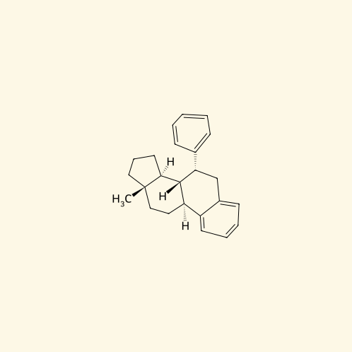 C[C@@]12CCC[C@H]1[C@H]1[C@H](CC2)c2ccccc2C[C@H]1c1ccccc1